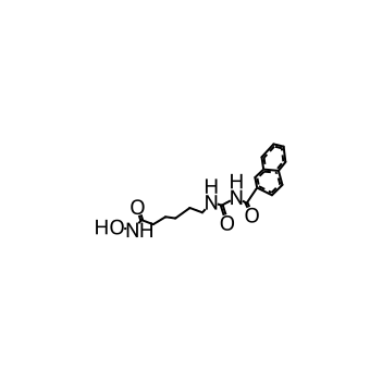 O=C(CCCCCNC(=O)NC(=O)c1ccc2ccccc2c1)NO